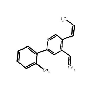 C=Cc1cc(-c2ccccc2C)ncc1/C=C\C